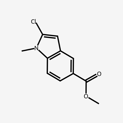 COC(=O)c1ccc2c(c1)cc(Cl)n2C